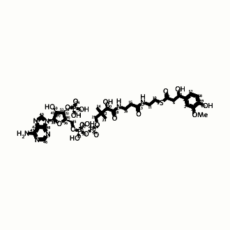 COc1cc(C(O)CC(=O)SCCNC(=O)CCNC(=O)[C@H](O)C(C)(C)COP(=O)(O)OP(=O)(O)OC[C@H]2O[C@@H](n3cnc4c(N)ncnc43)[C@H](O)[C@@H]2OP(=O)(O)O)ccc1O